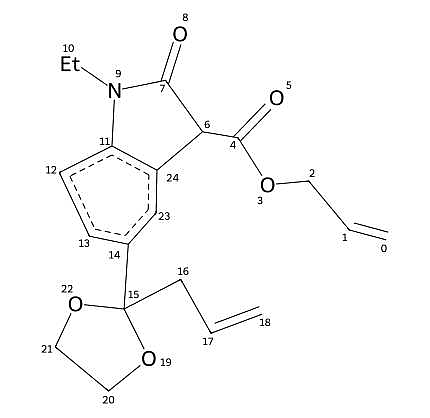 C=CCOC(=O)C1C(=O)N(CC)c2ccc(C3(CC=C)OCCO3)cc21